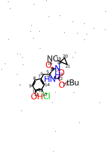 CC(C)(C)OC(=O)N[C@@H](Cc1ccc(O)c(Cl)c1)C(=O)NC1(C#N)CC1